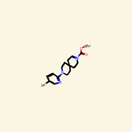 CC(C)(C)OC(=O)N1CCC2(CC1)CCN(c1ccc(C#N)cn1)CC2